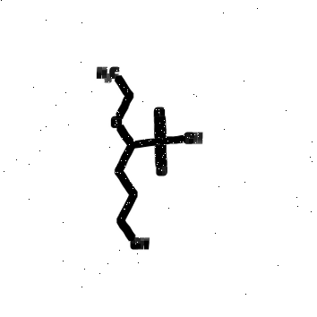 CCOC(CCCO)S(=O)(=O)O